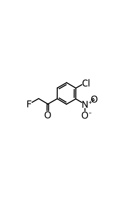 O=C(CF)c1ccc(Cl)c([N+](=O)[O-])c1